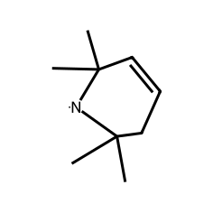 CC1(C)C=CCC(C)(C)[N]1